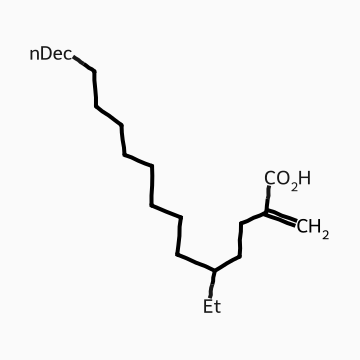 C=C(CCC(CC)CCCCCCCCCCCCCCCCCC)C(=O)O